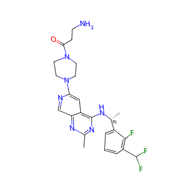 Cc1nc(N[C@H](C)c2cccc(C(F)F)c2F)c2cc(N3CCN(C(=O)CCN)CC3)ncc2n1